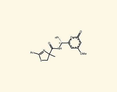 CCC[C@@H](NC(=O)C1(C)CSC(C(C)=O)=N1)c1cc(OC)cc(=O)o1